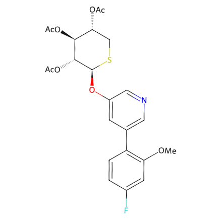 COc1cc(F)ccc1-c1cncc(O[C@@H]2SC[C@@H](OC(C)=O)[C@H](OC(C)=O)[C@H]2OC(C)=O)c1